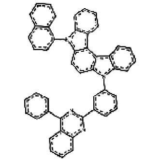 c1ccc(-c2nc(-c3cccc(-n4c5ccccc5c5c6c7ccccc7n(-c7cccc8ccccc78)c6ccc54)c3)nc3ccccc23)cc1